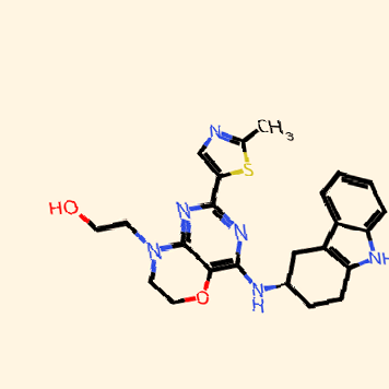 Cc1ncc(-c2nc(N[C@@H]3CCc4[nH]c5ccccc5c4C3)c3c(n2)N(CCO)CCO3)s1